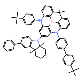 CC(C)(C)c1ccc(-c2ccc(N3c4cc(N5c6ccc(-c7ccccc7)cc6C6(C)CCCCC56C)cc5c4B4c6c3cccc6C(C)(C)c3cccc(c34)N5c3ccc(C(C)(C)C)cc3)cc2)cc1